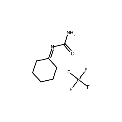 F[B-](F)(F)F.NC(=O)N=C1CCCCC1